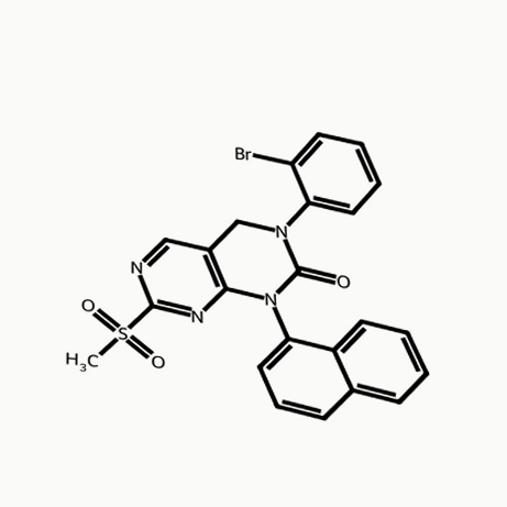 CS(=O)(=O)c1ncc2c(n1)N(c1cccc3ccccc13)C(=O)N(c1ccccc1Br)C2